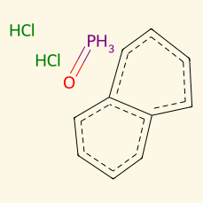 Cl.Cl.O=[PH3].c1ccc2ccccc2c1